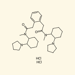 CN(C(=O)Cc1ccccc1CC(=O)N(C)C1CCCCC1N1CCCC1)C1CCCCC1N1CCCC1.Cl.Cl